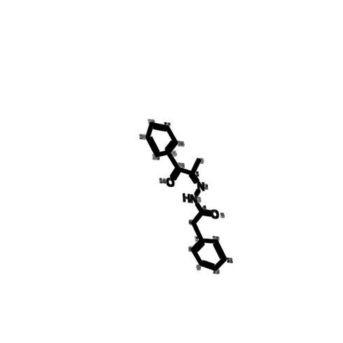 C/C(=N/NC(=O)Cc1ccccc1)C(=O)c1ccccc1